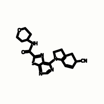 N#CC1C=CC2=C(CCN2c2ncnc3sc(C(=O)NC4CCOCC4)nc23)C1